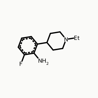 CCN1CCC(c2cccc(F)c2N)CC1